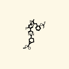 CCOC(=O)C1C2CCC(c3ncc(-c4cn5c(Cc6ccccc6OC(F)F)c(C)nc5cc4F)cn3)CC21